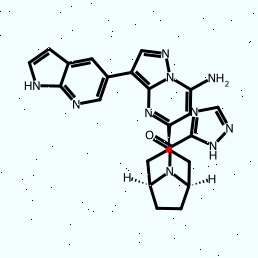 Nc1cc([C@H]2C[C@H]3CC[C@@H](C2)N3C(=O)c2ncn[nH]2)nc2c(-c3cnc4[nH]ccc4c3)cnn12